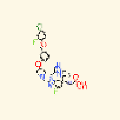 CCn1cncc1Cn1c(CN2CCC(Oc3cccc(COc4ccc(Cl)cc4F)c3)CC2)nc2c(F)cc(/C=C/C(=O)O)cc21